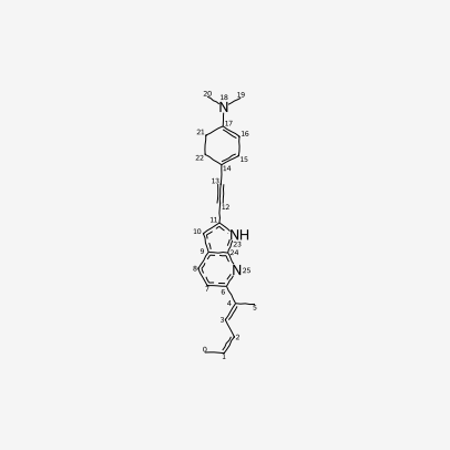 C/C=C\C=C(/C)c1ccc2cc(C#CC3=CC=C(N(C)C)CC3)[nH]c2n1